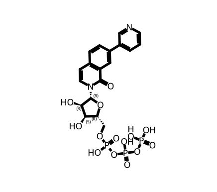 O=c1c2cc(-c3cccnc3)ccc2ccn1[C@@H]1O[C@H](COP(=O)(O)OP(=O)(O)OP(=O)(O)O)[C@@H](O)[C@H]1O